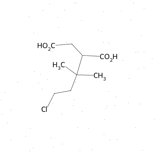 CC(C)(CCCl)C(CC(=O)O)C(=O)O